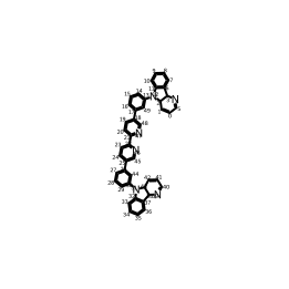 C1=CC2C(N=C1)c1ccccc1N2c1cccc(-c2ccc(-c3ccc(-c4cccc(N5c6ccccc6C6N=CC=CC65)c4)cn3)nc2)c1